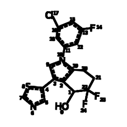 OC1c2c(-c3cncs3)cn(-c3cc(F)cc(Cl)c3)c2CCC1(F)F